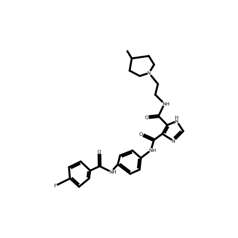 CC1CCN(CCNC(=O)c2[nH]cnc2C(=O)Nc2ccc(NC(=O)c3ccc(F)cc3)cc2)CC1